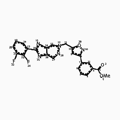 COC(=O)c1cccc(-c2cc(Cn3cc4nc(-c5cccc(F)c5F)nc-4cn3)on2)c1